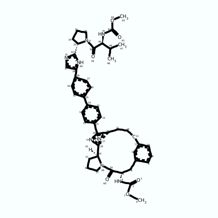 COC(=O)N[C@H]1Cc2cccc(c2)CCCc2[nH]c(nc2-c2ccc(-c3ccc(-c4cnc([C@@H]5CCCN5C(=O)[C@@H](NC(=O)OC)C(C)C)[nH]4)cc3)cc2)[C@@H]2CCCN2C1=O